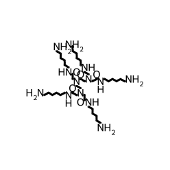 NCCCCCCNC(=O)CN(CCN(CC(=O)NCCCCCCN)CC(=O)NCCCCCCN)CCN(CC(=O)NCCCCCCN)CC(=O)NCCCCCCN